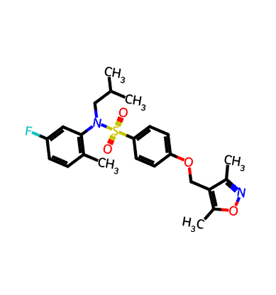 Cc1ccc(F)cc1N(CC(C)C)S(=O)(=O)c1ccc(OCc2c(C)noc2C)cc1